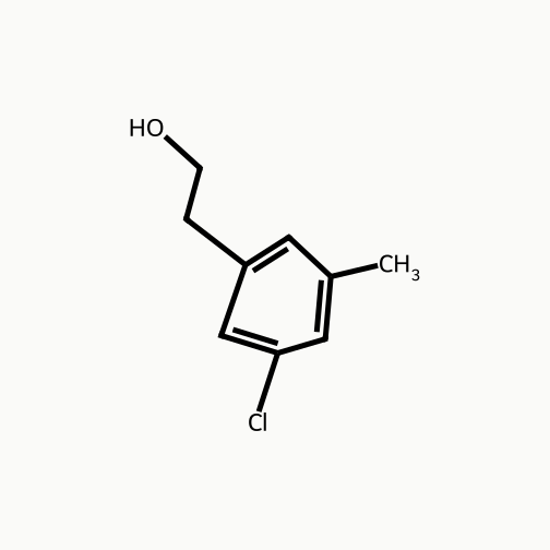 Cc1cc(Cl)cc(CCO)c1